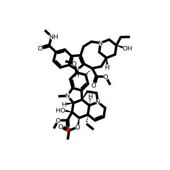 CC[C@]1(O)C[C@H]2CN(CCc3c([nH]c4ccc(C(=O)NC)cc34)[C@@](C(=O)OC)(C3C=C4C(=CC3OC)N(C)[C@H]3[C@@](O)(C(=O)OC)[C@H](OC(C)=O)[C@]5(CC)C=CCN6CC[C@]43[C@@H]65)C2)C1